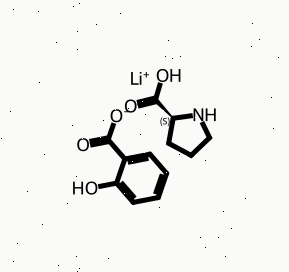 O=C(O)[C@@H]1CCCN1.O=C([O-])c1ccccc1O.[Li+]